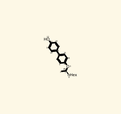 CCCCCC[C@@H](C)Oc1ccc(-c2ccc(O)cc2)cc1